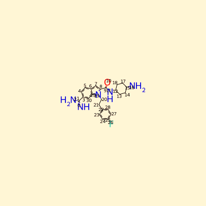 N=C(N)c1ccc2cc(C(=O)N[C@H]3CC[C@H](N)CC3)n(CCc3ccc(F)cc3)c2c1